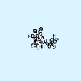 CC(C)c1c(C(=O)Nc2ccccc2)c(-c2ccccc2)c(-c2ccc(F)cc2OCCOCCNC(=O)COc2cccc3c2C(=O)N(C2CCC(=O)NC2=O)C3=O)n1CC[C@@H](O)C[C@@H](O)CC(=O)O